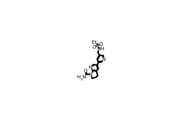 CCS(=O)(=O)NCc1cncc(-c2cnc3c(c2)CCCN3C(N)=O)c1